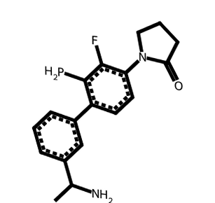 CC(N)c1cccc(-c2ccc(N3CCCC3=O)c(F)c2P)c1